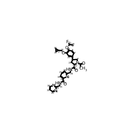 CC(=O)N1CC(c2ccc(OC(F)F)c(OCC3CC3)c2)C[C@@H]1C(=O)NCc1cccc(C(=O)NCc2ncccn2)n1